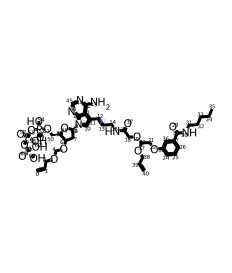 C=CCOCOC1C[C@H](n2cc(/C=C/CNC(=O)COC(COc3cccc(C(=O)NCCCCC)c3)OCC=C)c3c(N)ncnc32)O[C@@H]1COP(=O)(O)OP(=O)(O)OP(=O)(O)O